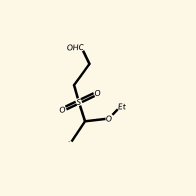 [CH2]C(OCC)S(=O)(=O)CCC=O